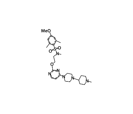 COc1cc(C)c(S(=O)(=O)N(C)CCOc2nccc(N3CCN(C4CCN(C)CC4)CC3)n2)c(C)c1